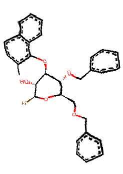 Cc1ccc2ccccc2c1O[C@@H]1[C@@H](O)[C@H](S)O[C@H](COCc2ccccc2)[C@H]1OCc1ccccc1